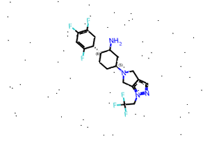 NC1C[C@@H](N2Cc3cnn(CC(F)(F)F)c3C2)CC[C@@H]1C1CC(F)=C(F)C=C1F